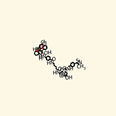 Cc1ncsc1-c1ccc(CNC(=O)[C@@H]2C[C@@H](O)CN2C(=O)[C@@H](NC(=O)CCCCNC(=O)c2ccc(NC(O)[C@@H]3NC4(CCCCC4)[C@@]4(C(=O)Nc5cc(Cl)ccc54)[C@H]3c3cccc(Cl)c3F)cc2)C(C)(C)C)cc1